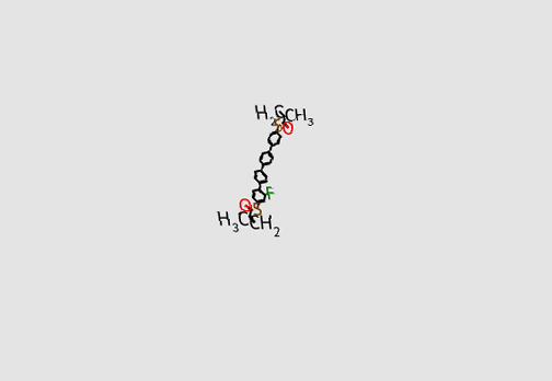 C=C(C)C(=O)Sc1ccc(-c2ccc(-c3ccc(-c4ccc(SC(=O)C(=C)C)cc4F)cc3)cc2)cc1